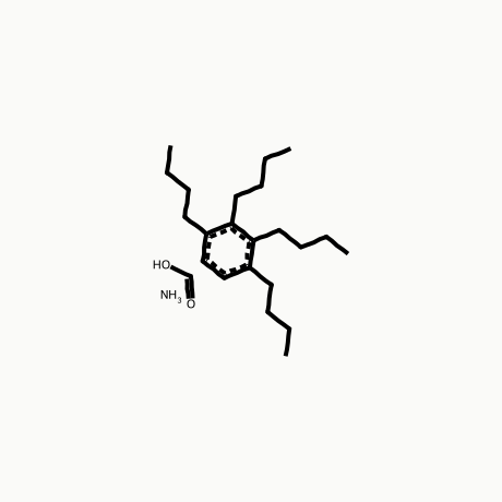 CCCCc1ccc(CCCC)c(CCCC)c1CCCC.N.O=CO